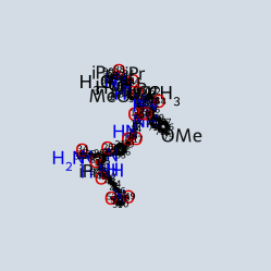 CC[C@H](C)[C@@H]([C@@H](CC(=O)N1C[C@@H](OC(=O)NCCNC(=O)OCc2ccc(NC(=O)[C@H](CCCNC(N)=O)CC(=O)[C@@H](NC(=O)CCCCCN3C(=O)C=CC3=O)C(C)C)cc2)C[C@H]1[C@H](OC)[C@@H](C)C(=O)NCC(=O)c1ccc2cc(OC)ccc2c1)OC)N(C)C(=O)[C@@H](NC(=O)[C@H](C(C)C)N(C)C)C(C)C